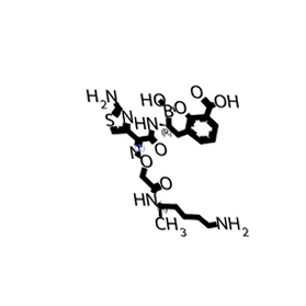 C[C@H](CCCCN)NC(=O)CO/N=C(\C(=O)N[C@H]1Cc2cccc(C(=O)O)c2OB1O)c1csc(N)n1